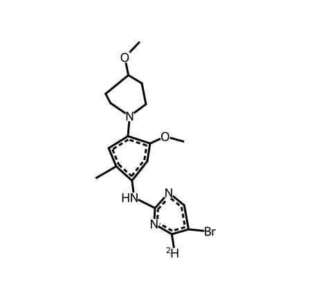 [2H]c1nc(Nc2cc(OC)c(N3CCC(OC)CC3)cc2C)ncc1Br